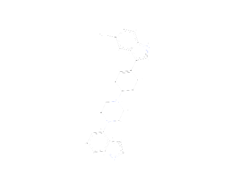 N#Cc1ccc2[nH]cc(C3=CCC(N4CCN(c5cccc6[nH]ccc56)CC4)CC3)c2c1